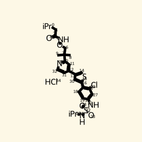 CC(C)CC(=O)NOCC(C)(C)c1cc(-c2csc(-c3ccc(NS(=O)(=O)NC(C)C)cc3Cl)c2)ccn1.Cl